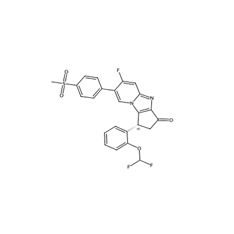 CS(=O)(=O)c1ccc(-c2cn3c4c(nc3cc2F)C(=O)C[C@@H]4c2ccccc2OC(F)F)cc1